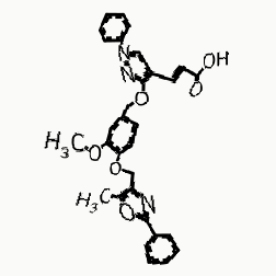 COc1cc(COc2nn(-c3ccccc3)cc2/C=C/C(=O)O)ccc1OCc1nc(-c2ccccc2)oc1C